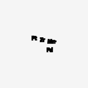 [Mn].[Pd].[Pt].[Zr]